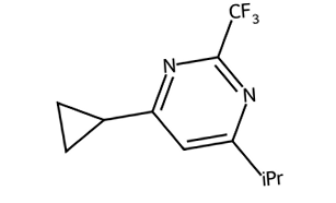 CC(C)c1cc(C2CC2)nc(C(F)(F)F)n1